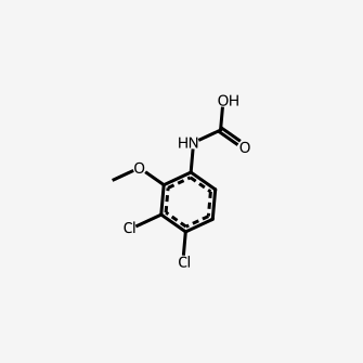 COc1c(NC(=O)O)ccc(Cl)c1Cl